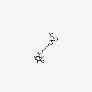 Cc1cnc(SCCCCCCOC(C)(C=O)OCC(C)C)n(C)c1=O